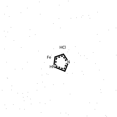 Cl.[Fe].c1c[nH]cn1